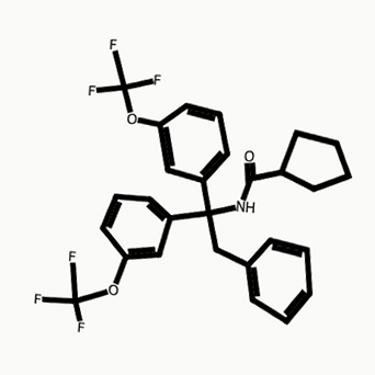 O=C(NC(Cc1ccccc1)(c1cccc(OC(F)(F)F)c1)c1cccc(OC(F)(F)F)c1)C1CCCC1